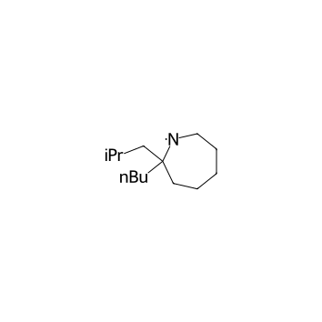 CCCCC1(CC(C)C)CCCCC[N]1